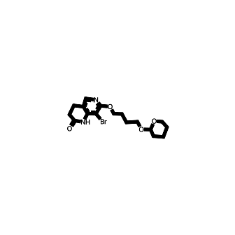 O=C1CCc2cnc(OCCCCOC3CCCCO3)c(Br)c2N1